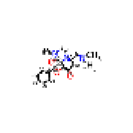 CC(C)N1CCn2c(CN(C)C)cc(=O)c(OCc3ccccc3)c2C1=O